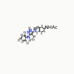 CCCN(Cc1ccc(NC(C)=O)cc1)c1c2c(nn1C)N(c1c(C)cc(C)cc1C)CCC2